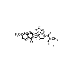 C[C@H](CC(F)(F)F)C(=O)N1CCC(O)(Cn2cnc3cc(C(F)(F)F)ccc3c2=O)C2(CCCC2)C1